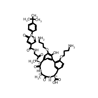 C[C@@H]1NC(=O)[C@@H](N(C)C(=O)CNC(=O)c2cnn(-c3ccc(C(C)(C)C)cc3)c(=O)c2)c2cc(OCCCN)c(O)c(c2)-c2cc(ccc2OCCCN)C[C@@H](C(=O)O)NC1=O